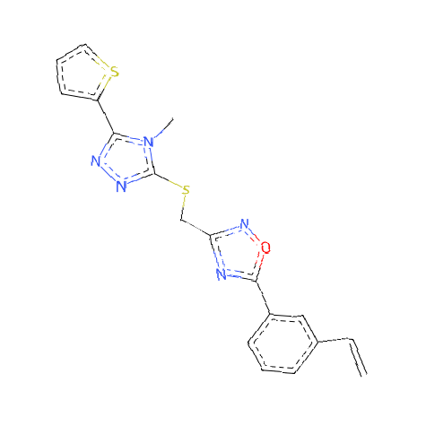 C=Cc1cccc(-c2nc(CSc3nnc(-c4cccs4)n3C)no2)c1